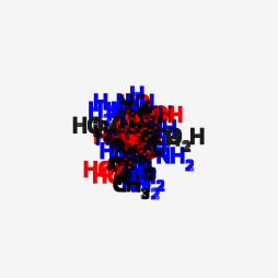 CC(C)CC(NC(=O)[C@H](CO)NC(=O)C(CC(N)=O)NC(=O)[C@H](CO)NC(=O)C(CO)NC(=O)[C@H](CC(=O)O)NC(=O)C(CC(=O)O)NC(=O)[C@H](Cc1ccccc1)NC(=O)C(Cc1ccc(O)cc1)NC(=O)[C@@H](NN)[C@@H](C)O)C(=O)N[C@@H](CC(C)C)C(=O)NC(CCCCN)C(=O)N[C@@H](CCCCN)C(=O)NC(Cc1ccc(O)cc1)C(=O)N[C@@H](CCCNC(=N)N)C(=O)NC(CO)C(=O)O